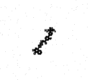 BC(B)(B)n1cc(-c2ccc(C(=O)N[C@H]3CC4(C3)C[C@H](c3n[nH]c(=O)c5ccccc53)C4)cc2F)cn1